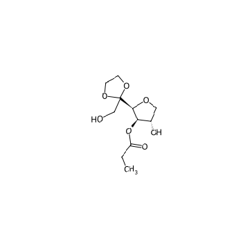 CCC(=O)O[C@@H]1[C@@H](O)CO[C@@H]1C1(CO)OCCO1